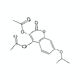 CC(=O)Oc1c(OC(C)=O)c2ccc(OC(C)C)cc2oc1=O